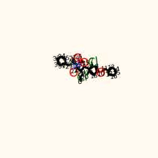 C=CC[C@H](Cc1c(Cl)cc(OCc2ccccc2)cc1Cl)C(=O)N1C(=O)OC[C@@H]1Cc1ccccc1